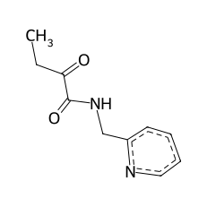 CCC(=O)C(=O)NCc1ccccn1